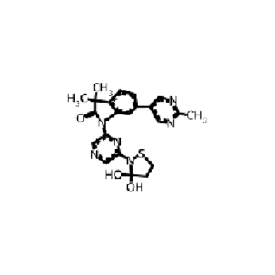 Cc1ncc(-c2ccc3c(c2)N(c2cncc(N4SCCC4(O)O)n2)C(=O)C3(C)C)cn1